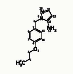 CCCOc1ccc(Cn2nccc2N)cc1